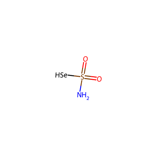 NS(=O)(=O)[SeH]